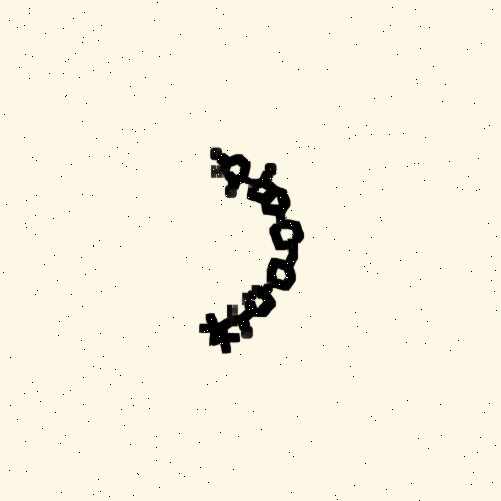 CC1(C)CC(C)(C)C1NC(=O)c1ccc(N2CCC(CN3CCN(c4ccc5c(c4)CN([C@H]4CCC(=O)NC4=O)C5=O)CC3)CC2)nn1